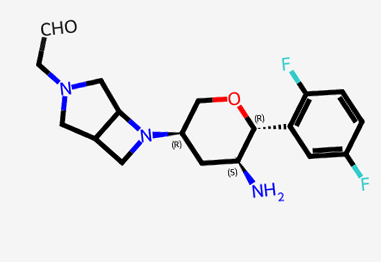 N[C@H]1C[C@@H](N2CC3CN(CC=O)CC32)CO[C@@H]1c1cc(F)ccc1F